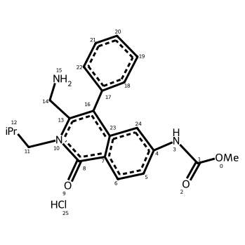 COC(=O)Nc1ccc2c(=O)n(CC(C)C)c(CN)c(-c3ccccc3)c2c1.Cl